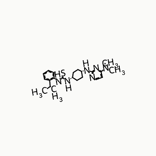 CC(C)c1ccccc1NC(=S)N[C@H]1CC[C@@H](Nc2nccc(N(C)C)n2)CC1